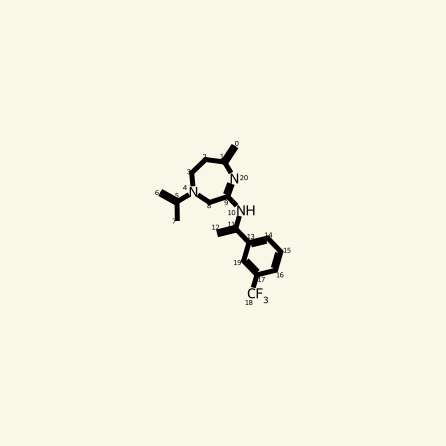 C=C1CCN(C(=C)C)CC(NC(=C)c2cccc(C(F)(F)F)c2)=N1